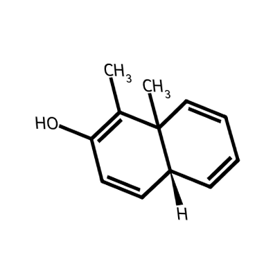 CC1=C(O)C=C[C@H]2C=CC=CC12C